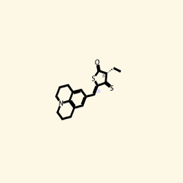 CC[C@H]1C(=O)S/C(=C\c2cc3c4c(c2)CCCN4CCC3)C1=S